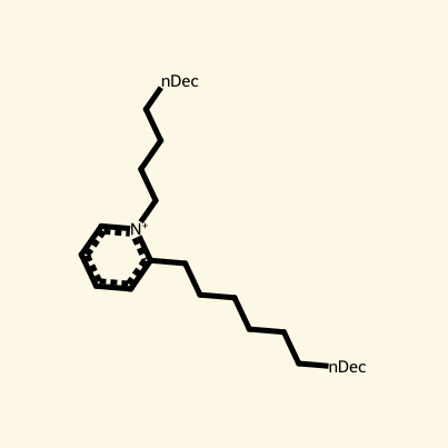 CCCCCCCCCCCCCCCCc1cccc[n+]1CCCCCCCCCCCCCC